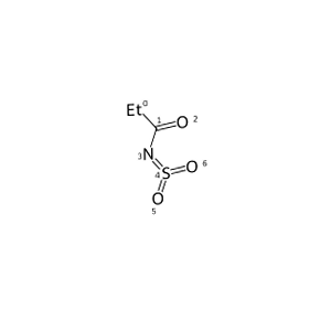 CCC(=O)N=S(=O)=O